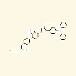 CCCCCCCCc1cc(-c2ccc(-c3ccc(/C=C(\C#N)C(=O)O)cc3)c3nonc23)sc1-c1ccc(N(c2ccccc2)c2ccccc2)cc1